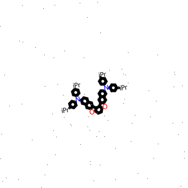 CC(C)c1ccc(N(c2ccc(C(C)C)cc2)c2ccc3cc4c(cc3c2)oc2ccc3oc5cc6cc(N(c7ccc(C(C)C)cc7)c7ccc(C(C)C)cc7)ccc6cc5c3c24)cc1